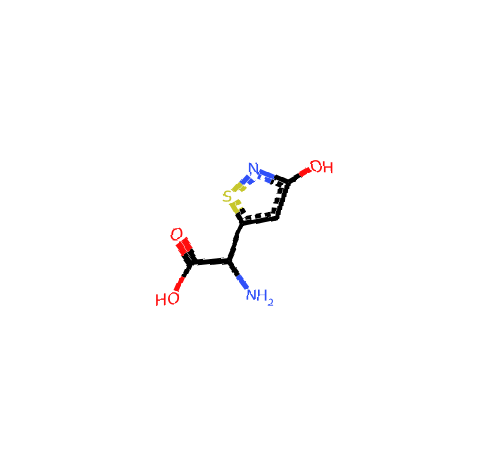 NC(C(=O)O)c1cc(O)ns1